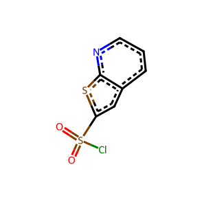 O=S(=O)(Cl)c1cc2cccnc2s1